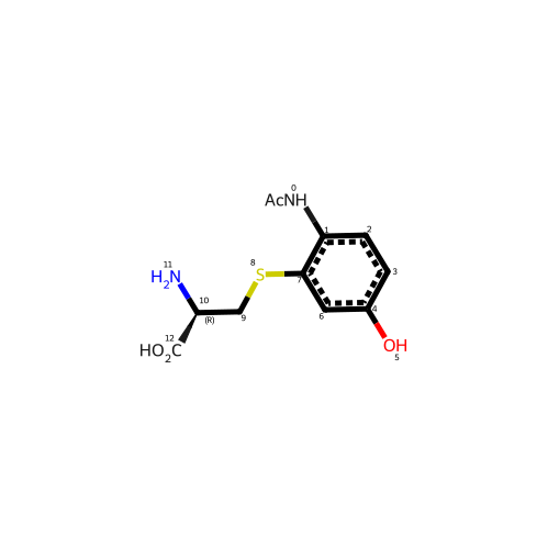 CC(=O)Nc1ccc(O)cc1SC[C@H](N)C(=O)O